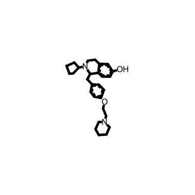 Oc1ccc2c(c1)CCN(C1CCCC1)C2Cc1ccc(OCCN2CCCCC2)cc1